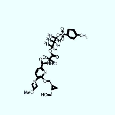 [2H]C([2H])(OC(=O)C(CC)(CC)NC(=O)c1ccc(N2CC(OC)C2)c(OC[C@H]2C[C@@H]2CO)n1)C([2H])([2H])C([2H])([2H])OS(=O)(=O)c1ccc(C)cc1